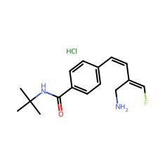 CC(C)(C)NC(=O)c1ccc(/C=C\C(=C\F)CN)cc1.Cl